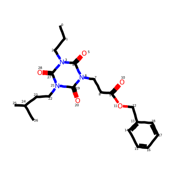 CCCn1c(=O)n(CCC(=O)OCc2ccccc2)c(=O)n(CCC(C)C)c1=O